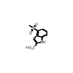 CS(=O)(=O)c1cccc2[nH]c(C(=O)O)cc12